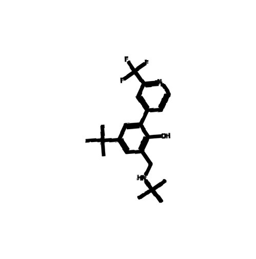 CC(C)(C)NCc1cc(C(C)(C)C)cc(-c2ccnc(C(F)(F)F)c2)c1O